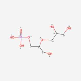 O=P(O)(O)OCC(CO)OCC(O)CO